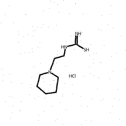 Cl.N=C(S)NCCN1CCCCC1